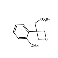 CCOC(=O)CC1(c2ccccc2OC)COC1